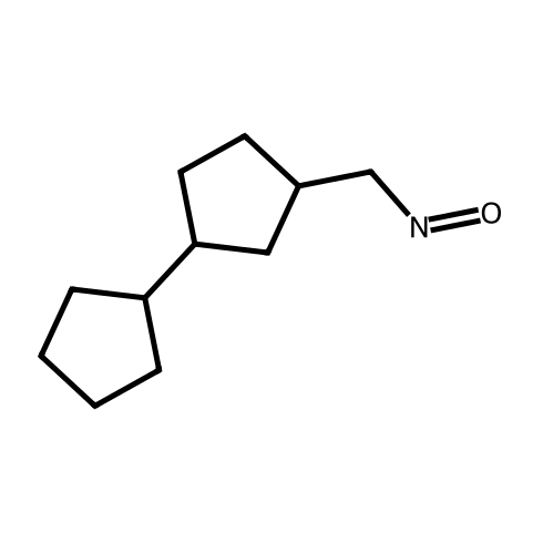 O=NCC1CCC(C2CCCC2)C1